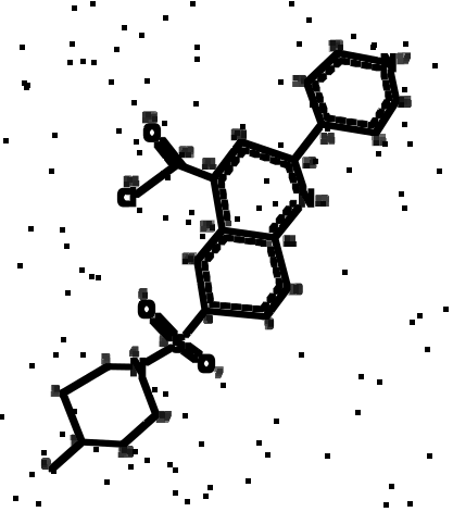 CC1CCN(S(=O)(=O)c2ccc3nc(-c4ccncc4)cc(C(=O)Cl)c3c2)CC1